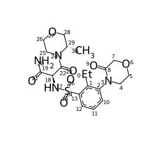 CCc1c(N2CCOCC2=O)cccc1S(=O)(=O)N[C@@H](C(N)=O)C(=O)N1CCOC[C@@H]1C